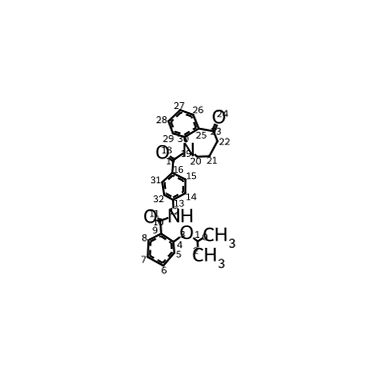 CC(C)Oc1ccccc1C(=O)Nc1ccc(C(=O)N2CCCC(=O)c3ccccc32)cc1